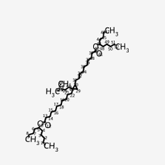 CCCCCC(CCCC)OC(=O)CCCCCCCCCCC1(CCN(C)C)CC1CCCCCCCCCC(=O)OC(CCCC)CCCCC